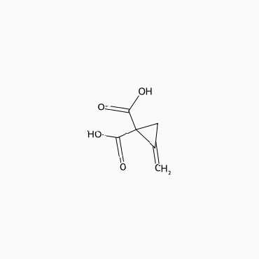 C=C1CC1(C(=O)O)C(=O)O